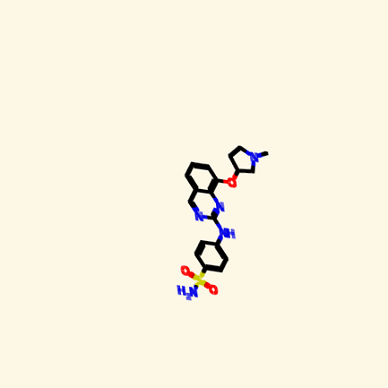 CN1CCC(Oc2cccc3cnc(Nc4ccc(S(N)(=O)=O)cc4)nc23)C1